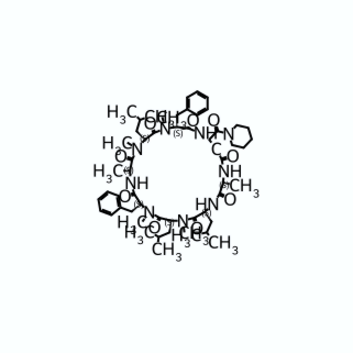 CC(C)C[C@@H]1NC(=O)[C@H](C)NC(=O)CC(C(=O)N2CCCCC2)NC(=O)[C@H](Cc2ccccc2)N(C)C(=O)[C@H](CC(C)C)N(C)C(=O)[C@H](C)NC(=O)[C@H](Cc2ccccc2)N(C)C(=O)[C@H](CC(C)C)N(C)C1=O